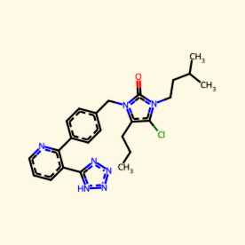 CCCc1c(Cl)n(CCC(C)C)c(=O)n1Cc1ccc(-c2ncccc2-c2nnn[nH]2)cc1